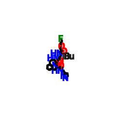 CC[C@H](C)[C@H](NC(=O)COCCF)C(=O)N[C@H]1CCc2cccc3c2N(C1=O)[C@H](C(=O)NCC1=CCN=N1)C3